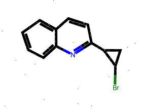 BrC1CC1c1ccc2ccccc2n1